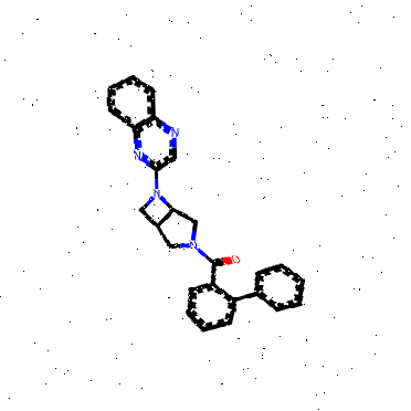 O=C(c1ccccc1-c1ccccc1)N1CC2CN(c3cnc4ccccc4n3)C2C1